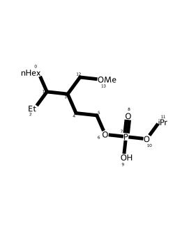 CCCCCCC(CC)C(CCOP(=O)(O)OC(C)C)COC